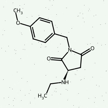 CCN[C@@H]1CC(=O)N(Cc2ccc(OC)cc2)C1=O